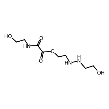 O=C(NCCO)C(=O)OCCNNCCO